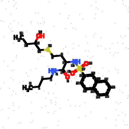 CCCCNC(=O)C(CCSCC(O)CC)NS(=O)(=O)c1ccc2ccccc2c1